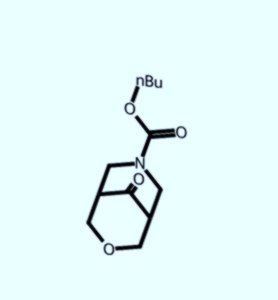 CCCCOC(=O)N1CC2COCC(C1)C2=O